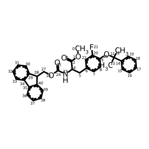 COC(=O)C(Cc1ccc(OC(C)(C)c2ccccc2)c(F)c1)NC(=O)OCC1c2ccccc2-c2ccccc21